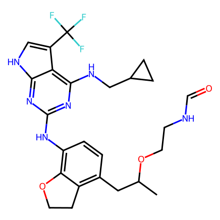 CC(Cc1ccc(Nc2nc(NCC3CC3)c3c(C(F)(F)F)c[nH]c3n2)c2c1CCO2)OCCNC=O